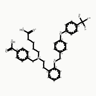 O=C(O)CCCCN(CCc1ccccc1OCc1ccc(Oc2ccc(C(F)(F)F)cc2)cc1)Cc1ccc(C(=O)O)cc1